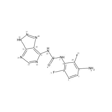 Nc1ccc(F)c(NC(=O)Nc2ncnc3[nH]nnc23)c1F